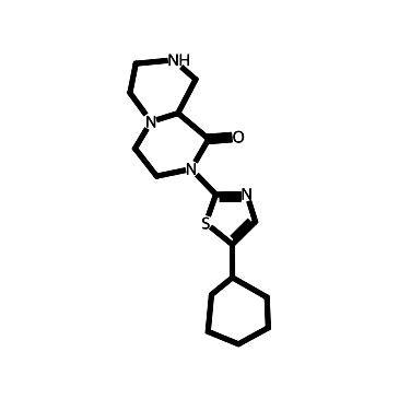 O=C1C2CNCCN2CCN1c1ncc(C2CCCCC2)s1